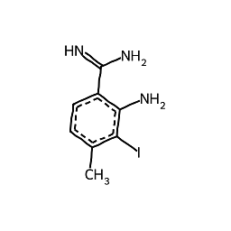 Cc1ccc(C(=N)N)c(N)c1I